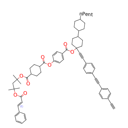 C#Cc1ccc(C#Cc2ccc(C#CC3(OC(=O)c4ccc(OC(=O)C5CCC(C(=O)OC(C)(C)CC(C)(C)OC(=O)/C=C/c6ccccc6)CC5)cc4)CCC(C4CCC(CCCCC)CC4)CC3)cc2)cc1